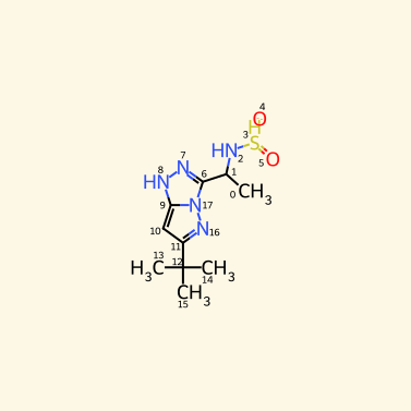 CC(N[SH](=O)=O)c1n[nH]c2cc(C(C)(C)C)nn12